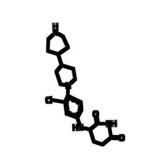 O=C1CCC(Nc2ccc(N3CCC(C4CCNCC4)CC3)c(Cl)c2)C(=O)N1